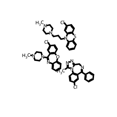 CN1CCN(C2=Nc3ccccc3Oc3ccc(Cl)cc32)CC1.CN1CCN(CCCN2c3ccccc3Sc3ccc(Cl)cc32)CC1.Cc1nnc2n1-c1ccc(Cl)cc1C(c1ccccc1)=NC2